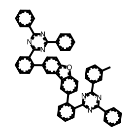 Cc1cccc(-c2nc(-c3ccccc3)nc(-c3ccccc3-c3ccc4oc5ccc(-c6ccccc6-c6nc(-c7ccccc7)nc(-c7ccccc7)n6)cc5c4c3)n2)c1